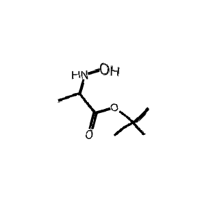 CC(NO)C(=O)OC(C)(C)C